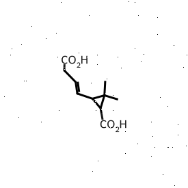 CC1(C)C(/C=C/CC(=O)O)C1C(=O)O